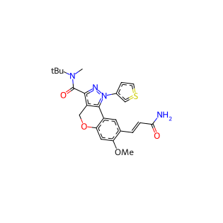 COc1cc2c(cc1C=CC(N)=O)-c1c(c(C(=O)N(C)C(C)(C)C)nn1-c1ccsc1)CO2